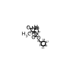 C[C@@H]1C(=O)N[C@H]2CCN(C(=O)OCc3ccccc3)[C@@H]21